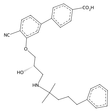 CC(C)(CCCc1ccccc1)NC[C@H](O)COc1cc(-c2ccc(C(=O)O)cc2)ccc1C#N